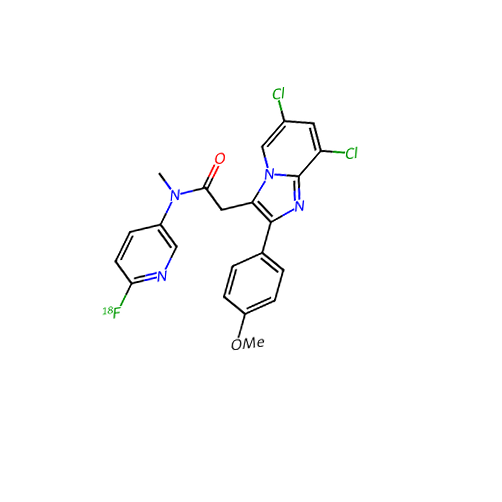 COc1ccc(-c2nc3c(Cl)cc(Cl)cn3c2CC(=O)N(C)c2ccc([18F])nc2)cc1